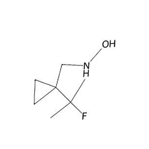 CC(C)(F)C1(CNO)CC1